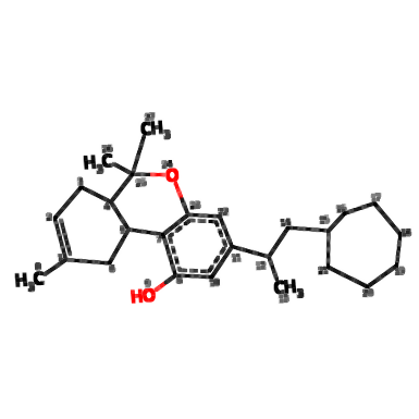 CC1=CCC2C(C1)c1c(O)cc(C(C)CC3CCCCCC3)cc1OC2(C)C